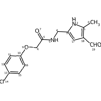 Cc1[nH]c(CNC(=O)COc2ccc(Cl)cc2)cc1C=O